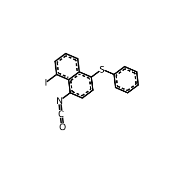 O=C=Nc1ccc(Sc2ccccc2)c2cccc(I)c12